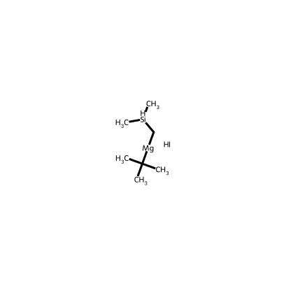 C[SiH](C)[CH2][Mg][C](C)(C)C.I